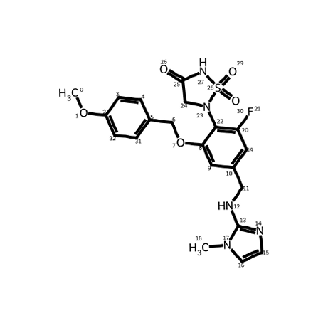 COc1ccc(COc2cc(CNc3nccn3C)cc(F)c2N2CC(=O)NS2(=O)=O)cc1